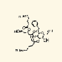 CCCCCCCCCCCCCC(=O)O[C@@H](CCCCCCCCCCC)CC(=O)N[C@H]1C(OCc2ccccc2)O[C@H](CO)[C@@H](O)[C@@H]1OC(=O)CCCCCCCCCCCCC